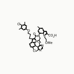 COCCn1c(C(=O)O)cc2cc(C)cc(N3CC(C)n4c(c(CCCOc5cc(C)c(Cl)c(C)c5)c5ccc(Cl)c(-c6c(C)ncnc6C)c54)C3=O)c21